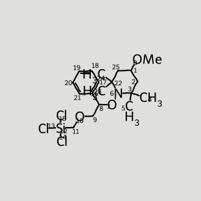 COC1CC(C)(C)N(OC(COC[Si](Cl)(Cl)Cl)c2ccccc2)C(C)(C)C1